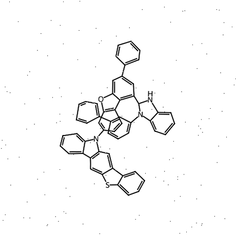 c1ccc(-c2cccc(N3c4ccccc4NC3c3cc(-c4ccccc4)cc4oc5cc(-n6c7ccccc7c7cc8sc9ccccc9c8cc76)ccc5c34)c2)cc1